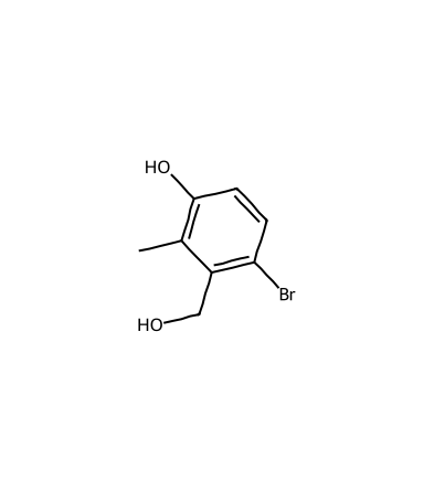 Cc1c(O)ccc(Br)c1CO